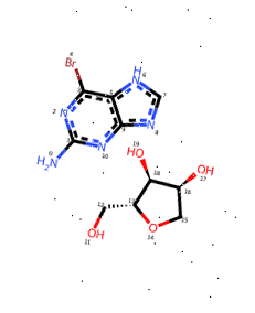 Nc1nc(Br)c2[nH]cnc2n1.OC[C@H]1OC[C@H](O)[C@@H]1O